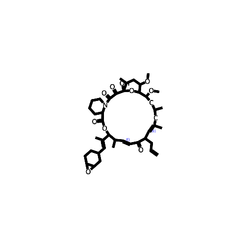 C=CCC1/C=C(\C)CC(C)CC(OC)C2OC(O)(C(=O)C(=O)N3CCCCC3C(=O)OC(C(C)=CC3CCC4OC4C3)C(C)/C=C/C1=O)C(C)CC2OC